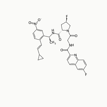 C[C@H](NC(=O)[C@@H]1C[C@@H](F)CN1C(=O)CNC(=O)c1ccc2cc(F)ccc2n1)c1cc([N+](=O)[O-])ccc1/C=C/C1CC1